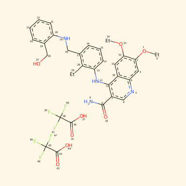 CCOc1cc2ncc(C(N)=O)c(Nc3cccc(CNc4ccccc4CO)c3CC)c2cc1OCC.O=C(O)C(F)(F)F.O=C(O)C(F)(F)F